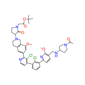 COc1cc(-c2nccc(-c3cccc(-c4ccc(CNC5CCN(C(C)=O)CC5)c(OC)n4)c3Cl)c2Cl)cc2c1CN(C1CCN(CC(=O)OC(C)(C)C)C1=O)CC2